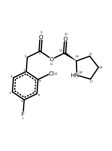 O=C(Cc1ccc(F)cc1Cl)OC(=O)[C@H]1CCCN1